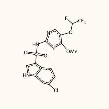 COc1nc(NS(=O)(=O)c2c[nH]c3cc(Cl)ccc23)ncc1OC(F)C(F)(F)F